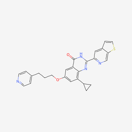 O=c1[nH]c(-c2cc3ccsc3cn2)nc2c(C3CC3)cc(OCCCc3ccncc3)cc12